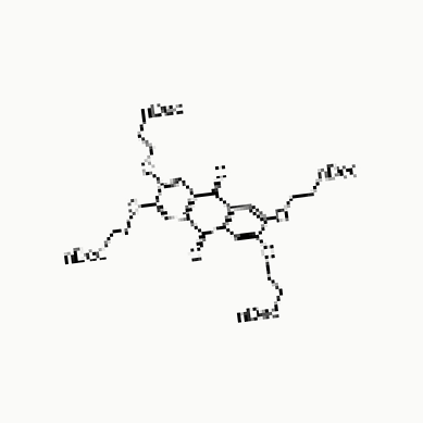 CCCCCCCCCCCCOc1cc2c(cc1OCCCCCCCCCCCC)C(=O)c1cc(OCCCCCCCCCCCC)c(OCCCCCCCCCCCC)cc1C2=O